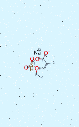 C=C(C)C(=O)[O-].CCO[SH](=O)=O.[Na+]